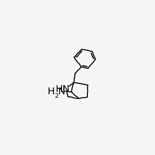 NC1C2CCC1(Cc1ccccc1)NC2